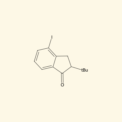 CC(C)(C)C1Cc2c(I)cccc2C1=O